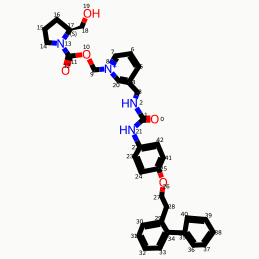 O=C(NCc1ccc[n+](COC(=O)N2CCC[C@H]2CO)c1)Nc1ccc(OCCc2ccccc2-c2ccccc2)cc1